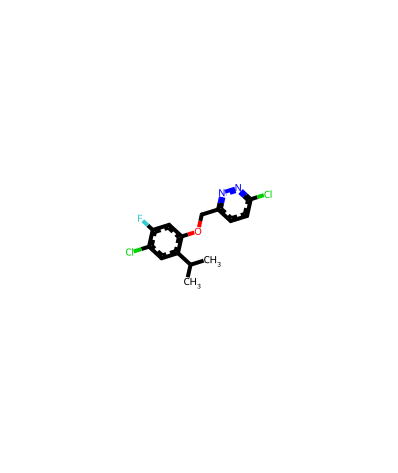 CC(C)c1cc(Cl)c(F)cc1OCc1ccc(Cl)nn1